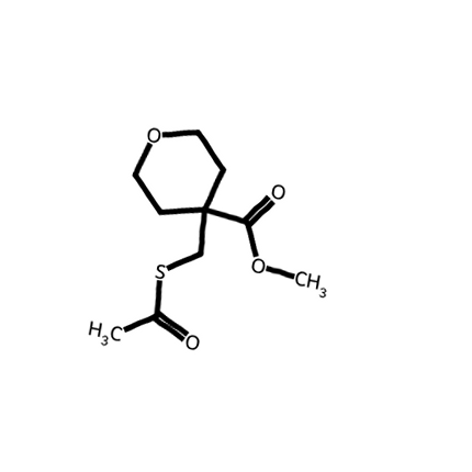 COC(=O)C1(CSC(C)=O)CCOCC1